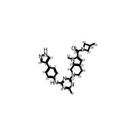 Cc1nc(Nc2ccc(-c3cn[nH]c3)cc2)nc(N2CCc3cc(C(=O)N4CC(C)C4)n(C)c3C2)n1